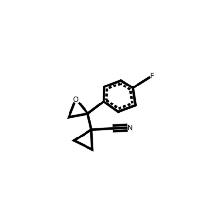 N#CC1(C2(c3ccc(F)cc3)CO2)CC1